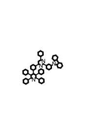 c1ccc(-c2cc(-c3cccc(-c4c(-c5ccccc5)c(-c5ccccc5)nc(-c5ccccc5)c4-c4ccccc4)c3)nc(-c3cccc(-n4c5ccccc5c5ccccc54)c3)n2)cc1